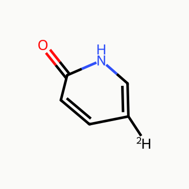 [2H]c1ccc(=O)[nH]c1